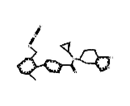 Cc1cccc(CN=[N+]=[N-])c1-c1ccc(C(=O)N(C2CC2)C2CCc3[nH]ncc3C2)cc1